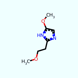 COCCc1ncc(OC)[nH]1